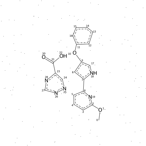 COc1cccc(-c2cc(Oc3ccccc3)c[nH]2)n1.O=C(O)c1cnncn1